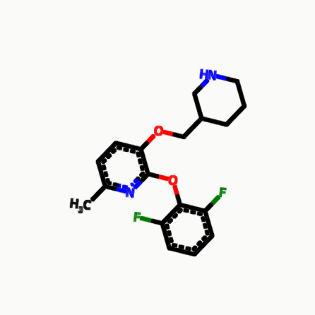 Cc1ccc(OCC2CCCNC2)c(Oc2c(F)cccc2F)n1